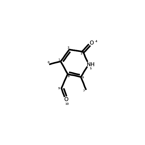 Cc1cc(=O)[nH]c(C)c1C=O